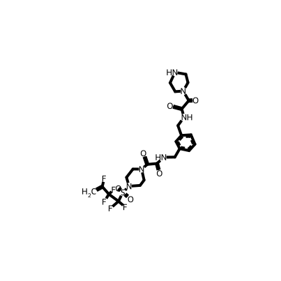 C=C(F)C(F)(F)C(F)(F)S(=O)(=O)N1CCN(C(=O)C(=O)NCc2cccc(CNC(=O)C(=O)N3CCNCC3)c2)CC1